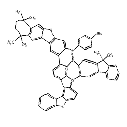 CC(C)(C)c1ccc(Nc2cc3oc4cc5c(cc4c3cc2-c2ccc3c4c6c(ccc4n4c3c2Bc2cc3c(cc2-4)-c2ccccc2C3(C)C)oc2ccccc26)C(C)(C)CCC5(C)C)cc1